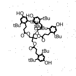 CC(C)(C)c1cc(O)cc(C(C)(C)C)c1CCC(=O)OCC(COC(=O)CCc1c(C(C)(C)C)cc(O)cc1C(C)(C)C)(COC(=O)CCc1c(C(C)(C)C)cc(O)cc1C(C)(C)C)COC(=O)CCc1c(C(C)(C)C)cc(O)cc1C(C)(C)C